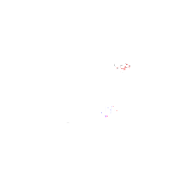 CCCCCCCCCCCCCCCCCCNC(=O)C(NC(=O)CCCCCCCCCC[Si](CC)(O[Si](C)(C)C)O[Si](C)(C)C)C(C)C